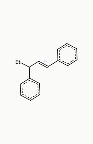 CCC(/C=C/c1ccccc1)c1ccccc1